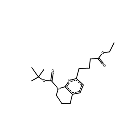 CCOC(=O)CCCc1ccc2c(n1)N(C(=O)OC(C)(C)C)CCC2